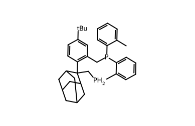 Cc1ccccc1P(Cc1cc(C(C)(C)C)ccc1C1(CP)C2CC3CC(C2)CC1C3)c1ccccc1C